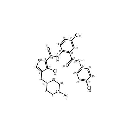 CC(=O)N1CCN(Cc2csc(C(=O)Nc3ccc(Cl)cc3C(=O)Nc3ccc(Cl)cc3)c2Cl)CC1